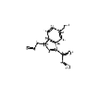 C=CCn1cc(C(=O)C=O)c2cc(F)ccc21